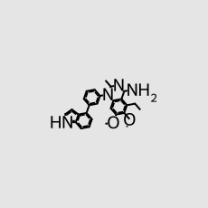 CCc1c(OC)c(OC)cc2c1C(N)=NC(C)N2c1cccc(-c2cccc3[nH]ccc23)c1